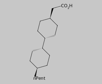 CCCCC[C@H]1CC[C@H]([C@H]2CC[C@H](CC(=O)O)CC2)CC1